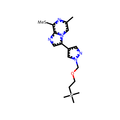 CSc1nc(C)cn2c(-c3cnn(COCC[Si](C)(C)C)c3)cnc12